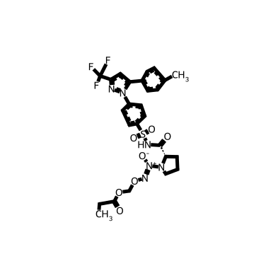 CCC(=O)OCO/N=[N+](\[O-])N1CCC[C@H]1C(=O)NS(=O)(=O)c1ccc(-n2nc(C(F)(F)F)cc2-c2ccc(C)cc2)cc1